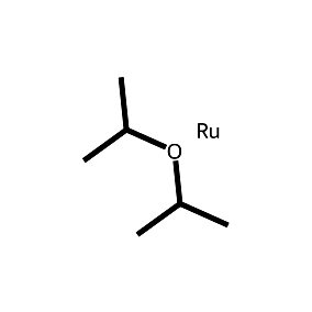 CC(C)OC(C)C.[Ru]